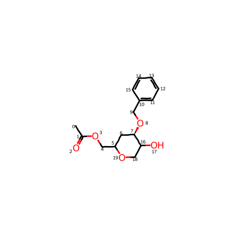 CC(=O)OCC1C[C@@H](OCc2ccccc2)C(O)CO1